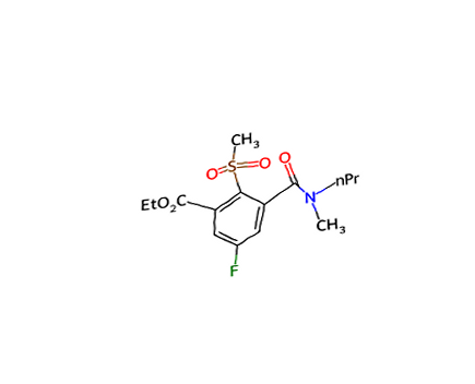 CCCN(C)C(=O)c1cc(F)cc(C(=O)OCC)c1S(C)(=O)=O